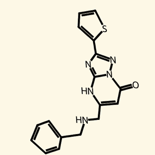 O=c1cc(CNCc2ccccc2)[nH]c2nc(-c3cccs3)nn12